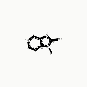 Cn1c(=O)oc2cnccc21